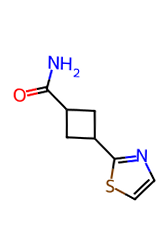 NC(=O)C1CC(c2nccs2)C1